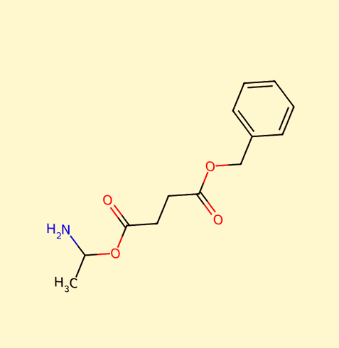 CC(N)OC(=O)CCC(=O)OCc1ccccc1